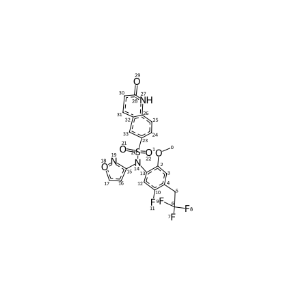 COc1cc(CC(F)(F)F)c(F)cc1N(c1ccon1)S(=O)(=O)c1ccc2[nH]c(=O)ccc2c1